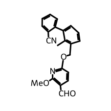 COc1nc(OCc2cccc(-c3ccccc3C#N)c2C)ccc1C=O